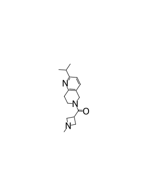 CC(C)c1ccc2c(n1)CCN(C(=O)C1CN(C)C1)C2